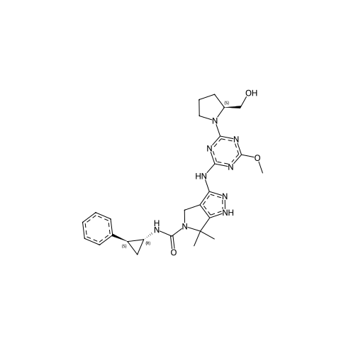 COc1nc(Nc2n[nH]c3c2CN(C(=O)N[C@@H]2C[C@H]2c2ccccc2)C3(C)C)nc(N2CCC[C@H]2CO)n1